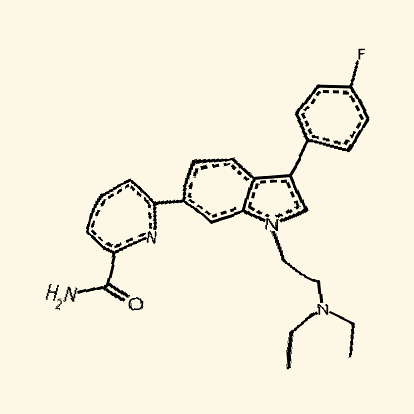 CCN(CC)CCn1cc(-c2ccc(F)cc2)c2ccc(-c3cccc(C(N)=O)n3)cc21